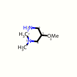 COC(CN)CN(C)C